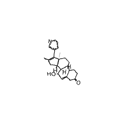 CC1=C(c2cccnc2)[C@@]2(C)CC[C@H]3[C@@H]([C@@H](O)C=C4CC(=O)CC[C@@]43C)[C@@H]2C1